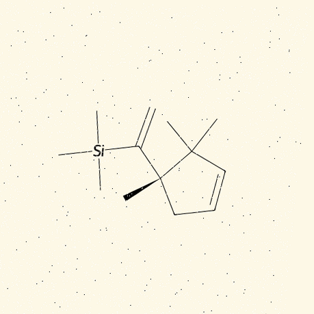 C=C([C@@]1(C)CC=CC1(C)C)[Si](C)(C)C